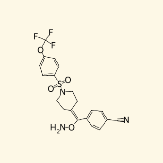 N#Cc1ccc(C(ON)=C2CCN(S(=O)(=O)c3ccc(OC(F)(F)F)cc3)CC2)cc1